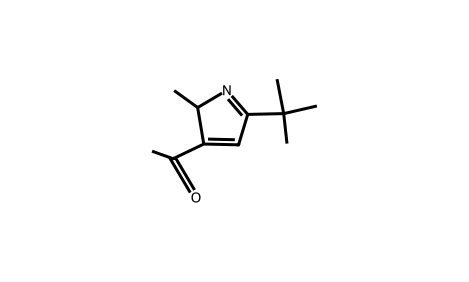 CC(=O)C1=CC(C(C)(C)C)=NC1C